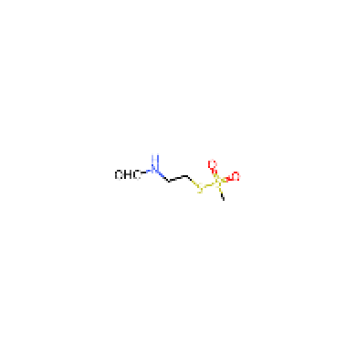 CS(=O)(=O)SCCNC=O